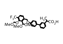 COCOc1c(C(F)(F)F)ccc(COc2ccc(-c3cccc(C(C)C(=O)O)c3)cc2)c1C(OC)OC